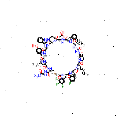 CCCC[C@H]1C(=O)N2CCC[C@@H]2C(=O)NC(=O)N[C@@H](C(C)C)C(=O)N(C)[C@@H](Cc2ccccc2)C(=O)N[C@@H](CC(=O)O)C(=O)N2CCCC[C@@H]2C(=O)N[C@@H](Cc2c[nH]c3ccccc23)C(=O)N[C@@H](Cc2ccc(O)cc2)C(=O)N[C@@H](CC(C)C)C(=O)N[C@H](C(=O)NCC(N)=O)CSCC(=O)N[C@@H](Cc2cc(F)c(F)c(F)c2)C(=O)N(C)[C@@H](Cc2ccc(F)cc2)C(=O)N1C